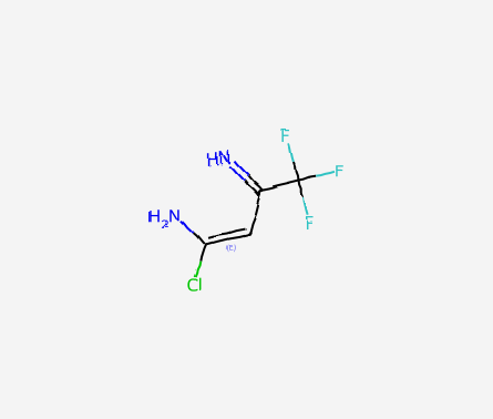 N=C(/C=C(\N)Cl)C(F)(F)F